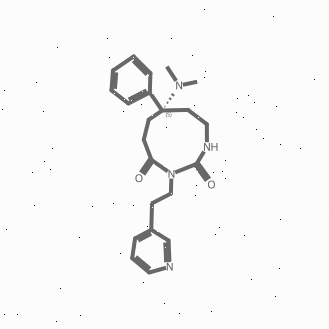 CN(C)[C@]1(c2ccccc2)CCNC(=O)N(CCc2cccnc2)C(=O)CC1